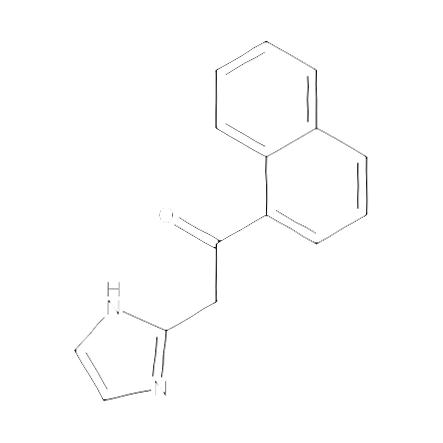 O=C(Cc1ncc[nH]1)c1cccc2ccccc12